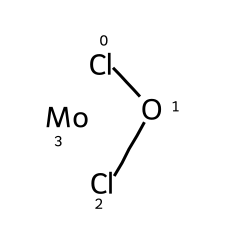 ClOCl.[Mo]